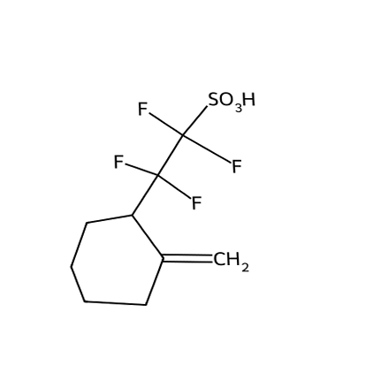 C=C1CCCCC1C(F)(F)C(F)(F)S(=O)(=O)O